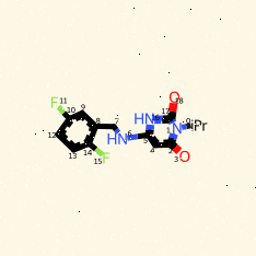 CC(C)n1c(=O)cc(NCc2cc(F)ccc2F)[nH]c1=O